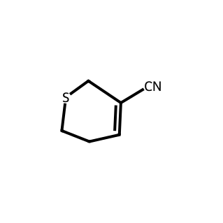 N#CC1=CCCSC1